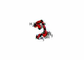 Cc1ncsc1-c1ccc(CNC(=O)[C@@H]2C[C@@H](O)CN2C(=O)[C@@H](NC(=O)COCCOCCNC(=O)CCc2cccc(-c3ccc4nc(-c5cccnc5N)n(-c5ccc(C6(N)CCC6)cc5)c4n3)c2)C(C)(C)C)cc1